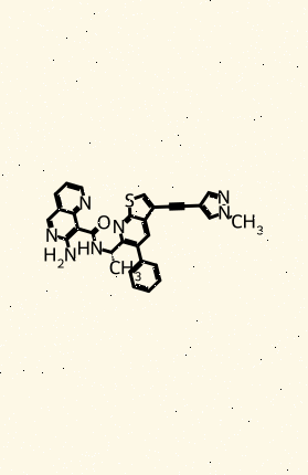 C[C@H](NC(=O)c1c(N)ncc2cccnc12)c1nc2scc(C#Cc3cnn(C)c3)c2cc1-c1ccccc1